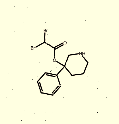 O=C(OC1(c2ccccc2)CCCNC1)C(Br)Br